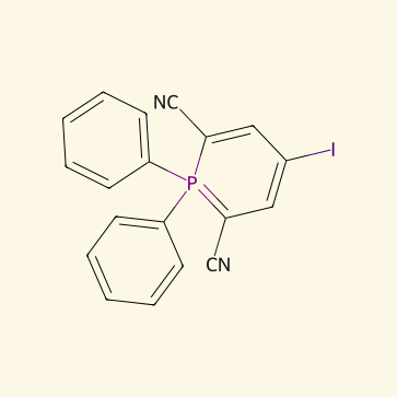 N#CC1=CC(I)=CC(C#N)=P1(c1ccccc1)c1ccccc1